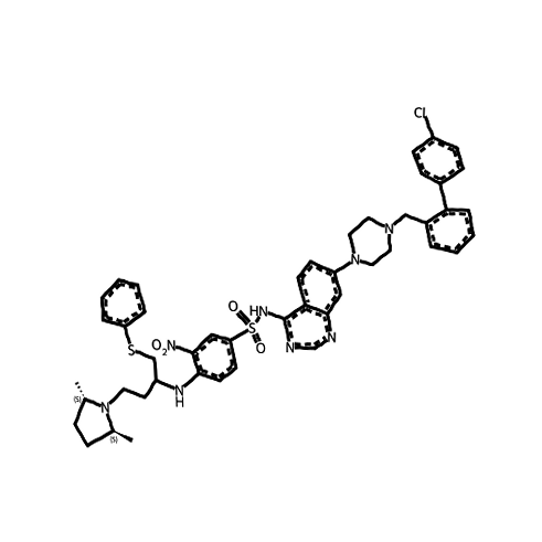 C[C@H]1CC[C@H](C)N1CCC(CSc1ccccc1)Nc1ccc(S(=O)(=O)Nc2ncnc3cc(N4CCN(Cc5ccccc5-c5ccc(Cl)cc5)CC4)ccc23)cc1[N+](=O)[O-]